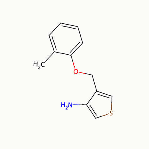 Cc1ccccc1OCc1cscc1N